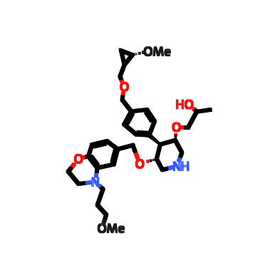 COCCCN1CCOc2ccc(CO[C@H]3CNC[C@@H](OCC(C)O)[C@@H]3c3ccc(COCC4C[C@@H]4OC)cc3)cc21